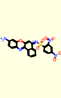 Nc1ccc2nc3c4ccccc4/c(=N\S(=O)(=O)c4ccc([N+](=O)[O-])cc4[N+](=O)[O-])cc-3oc2c1